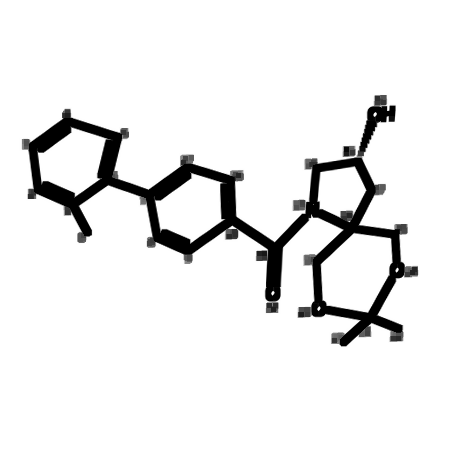 Cc1ccccc1-c1ccc(C(=O)N2C[C@H](O)CC23COC(C)(C)OC3)cc1